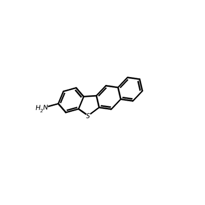 Nc1ccc2c(c1)sc1cc3ccccc3cc12